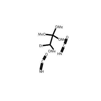 CCC(OC)C(OC)(OC)OC.N=C=O.N=C=O